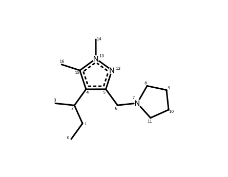 CCC(C)c1c(CN2CCCC2)nn(C)c1C